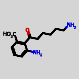 NCCCCCC(=O)c1c(N)cccc1C(=O)O